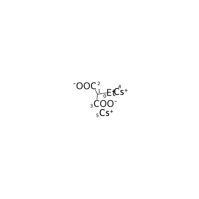 CCC(C(=O)[O-])C(=O)[O-].[Cs+].[Cs+]